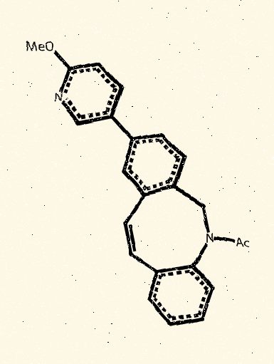 COc1ccc(-c2ccc3c(c2)C=Cc2ccccc2N(C(C)=O)C3)cn1